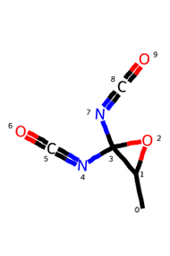 CC1OC1(N=C=O)N=C=O